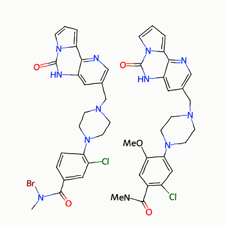 CN(Br)C(=O)c1ccc(N2CCN(Cc3cnc4c(c3)[nH]c(=O)n3cccc43)CC2)c(Cl)c1.CNC(=O)c1cc(OC)c(N2CCN(Cc3cnc4c(c3)[nH]c(=O)n3cccc43)CC2)cc1Cl